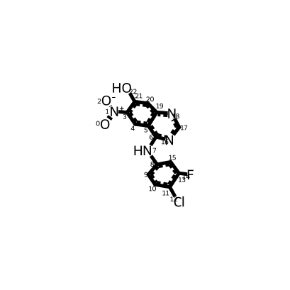 O=[N+]([O-])c1cc2c(Nc3ccc(Cl)c(F)c3)ncnc2cc1O